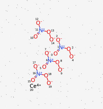 O=[N+]([O-])O[O-].O=[N+]([O-])O[O-].O=[N+]([O-])O[O-].O=[N+]([O-])O[O-].[Ce+4]